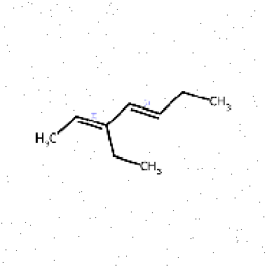 C/C=C(/C=C/CC)CC